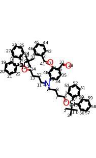 CC(C)(C)[Si](OCCCCN(CCCCO[Si](c1ccccc1)(c1ccccc1)C(C)(C)C)c1ccc(C=O)c(OCc2ccccc2)c1)(c1ccccc1)c1ccccc1